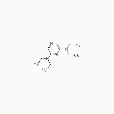 CCN(CC)c1cncc(N(CC)CC)n1